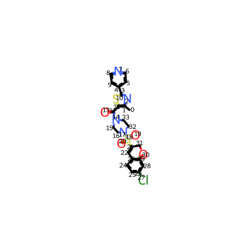 Cc1nc(-c2ccncc2)sc1C(=O)N1CCN(S(=O)(=O)C2=Cc3ccc(Cl)cc3OC2)CC1